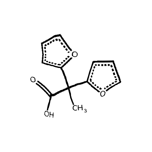 CC(C(=O)O)(c1ccco1)c1ccco1